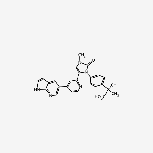 Cn1cc(-c2cc(-c3cnc4[nH]ccc4c3)ccn2)n(-c2ccc(C(C)(C)C(=O)O)cc2)c1=O